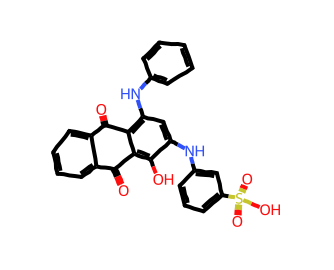 O=C1c2ccccc2C(=O)c2c(O)c(Nc3cccc(S(=O)(=O)O)c3)cc(Nc3ccccc3)c21